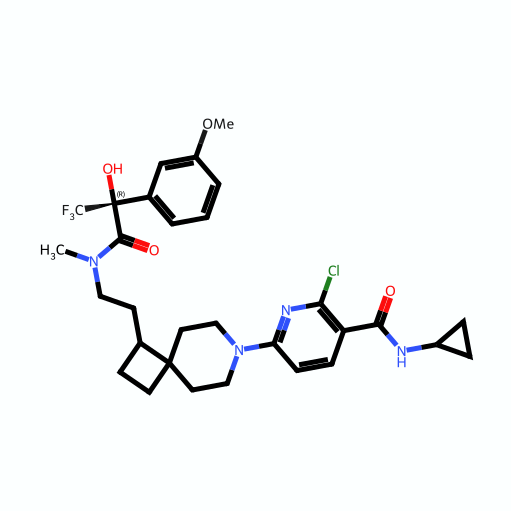 COc1cccc([C@@](O)(C(=O)N(C)CCC2CCC23CCN(c2ccc(C(=O)NC4CC4)c(Cl)n2)CC3)C(F)(F)F)c1